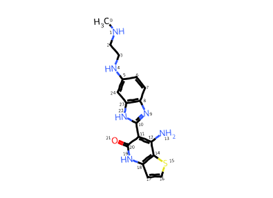 CNCCNc1ccc2nc(-c3c(N)c4sccc4[nH]c3=O)[nH]c2c1